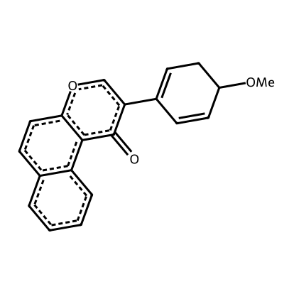 COC1C=CC(c2coc3ccc4ccccc4c3c2=O)=CC1